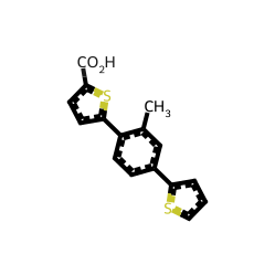 Cc1cc(-c2cccs2)ccc1-c1ccc(C(=O)O)s1